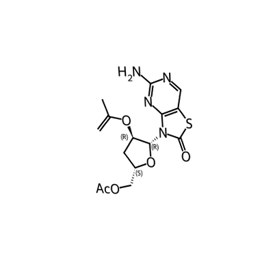 C=C(C)O[C@@H]1C[C@@H](COC(C)=O)O[C@H]1n1c(=O)sc2cnc(N)nc21